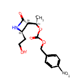 C[C@H](OC(=O)OCc1ccc([N+](=O)[O-])cc1)[C@H]1C(=O)N[C@@H]1CCO